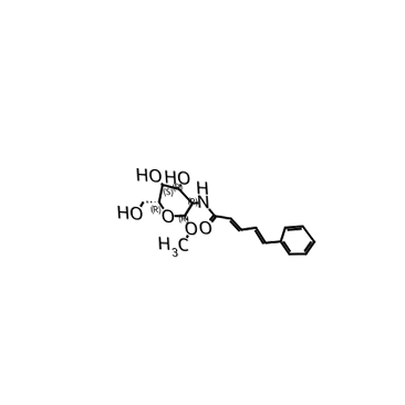 CO[C@@H]1O[C@H](CO)[C@@H](O)[C@H](O)[C@H]1NC(=O)C=CC=Cc1ccccc1